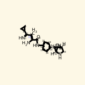 C/C(C(=N)C1CC1)=C(/N)C(=O)Nc1ccc([C@@H]2O[C@H]3CN[C@@H]2[C@@H]3C)cc1